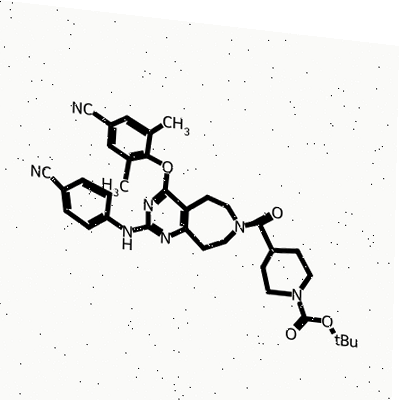 Cc1cc(C#N)cc(C)c1Oc1nc(Nc2ccc(C#N)cc2)nc2c1CCN(C(=O)C1CCN(C(=O)OC(C)(C)C)CC1)CC2